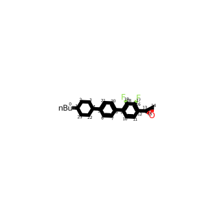 CCCCC1CCC(c2ccc(-c3ccc(C4CO4)c(F)c3F)cc2)CC1